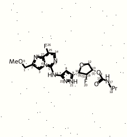 COCc1cn2c(Nc3cc([C@@H]4OC[C@H](OC(=O)NC(C)C)[C@H]4F)[nH]n3)ncc(F)c2n1